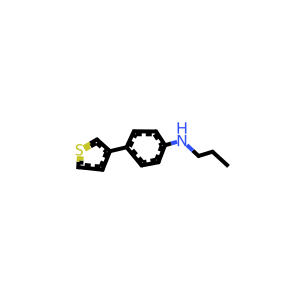 CCCNc1ccc(-c2ccsc2)cc1